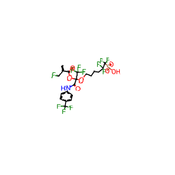 C=C(CF)C(=O)OC(OCCCCC(F)(F)C(F)(F)S(=O)(=O)O)(C(=O)Nc1ccc(C(F)(F)F)cc1)C(F)(F)F